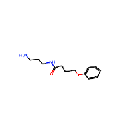 NCCCNC(=O)CCCOc1cc[c]cc1